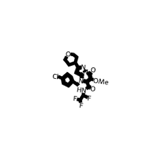 COc1c(C(=O)NC(F)C(F)F)n(Cc2ccc(Cl)cc2)c2cc(C3CCOCC3)nn2c1=O